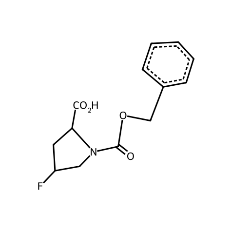 O=C(O)C1CC(F)CN1C(=O)OCc1ccccc1